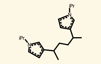 CC(CCC(C)c1ccn(C(C)C)c1)c1ccn(C(C)C)c1